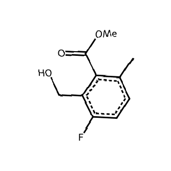 COC(=O)c1c(C)ccc(F)c1CO